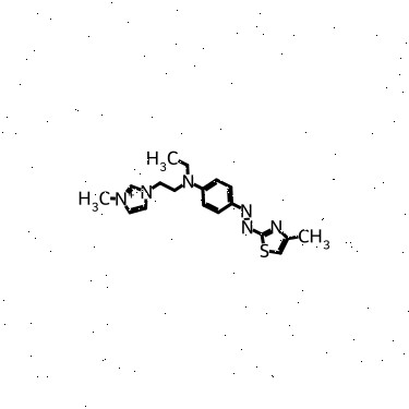 CCN(CCn1cc[n+](C)c1)c1ccc(N=Nc2nc(C)cs2)cc1